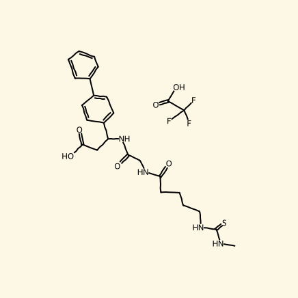 CNC(=S)NCCCCC(=O)NCC(=O)NC(CC(=O)O)c1ccc(-c2ccccc2)cc1.O=C(O)C(F)(F)F